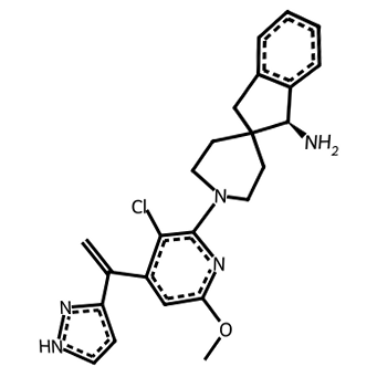 C=C(c1cc[nH]n1)c1cc(OC)nc(N2CCC3(CC2)Cc2ccccc2[C@H]3N)c1Cl